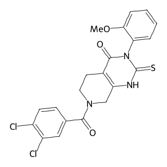 COc1ccccc1-n1c(=S)[nH]c2c(c1=O)CCN(C(=O)c1ccc(Cl)c(Cl)c1)C2